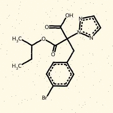 CCC(C)OC(=O)C(Cc1ccc(Br)cc1)(C(=O)O)n1nccn1